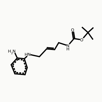 CC(C)(C)OC(=O)NC/C=C/CNc1ccccc1N